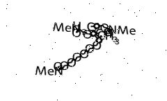 CNC(=O)CCCOc1cc(-c2cc(COCC(=O)NC)ccc2C)c(C)c(-c2cc(OCCOCCOCCOCCOCCOCC(=O)NC)ccc2C)c1